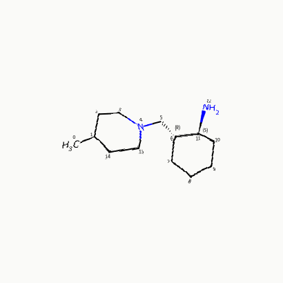 CC1CCN(C[C@H]2CCCC[C@@H]2N)CC1